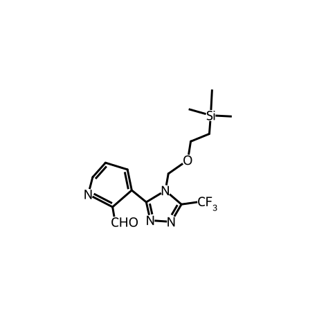 C[Si](C)(C)CCOCn1c(-c2cccnc2C=O)nnc1C(F)(F)F